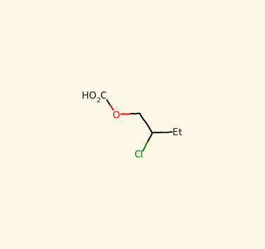 CCC(Cl)COC(=O)O